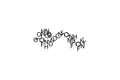 C=Nc1c(F)cc(-c2nc(Nc3ccc(SN4CCC5(CC4)CCN(C(=O)CNc4cc(C(=O)N(C)C(CCC=O)C(=O)NC)c(C=O)cc4F)CC5)cc3)ncc2F)cc1N(CC)C(C)C